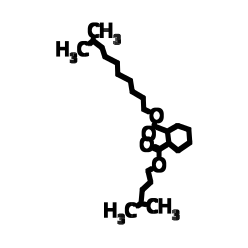 CC(C)CCCCCCCCOC(=O)C1CCCCC1C(=O)OCCCC(C)C